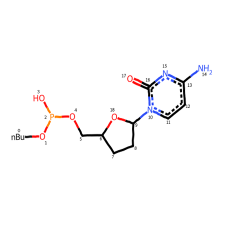 CCCCOP(O)OCC1CCC(n2ccc(N)nc2=O)O1